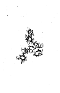 O=C(CC1CN(C(=O)c2cccnc2)CCN1c1cc(-n2ccnc2)ncn1)NCCc1ccc(F)c(F)c1